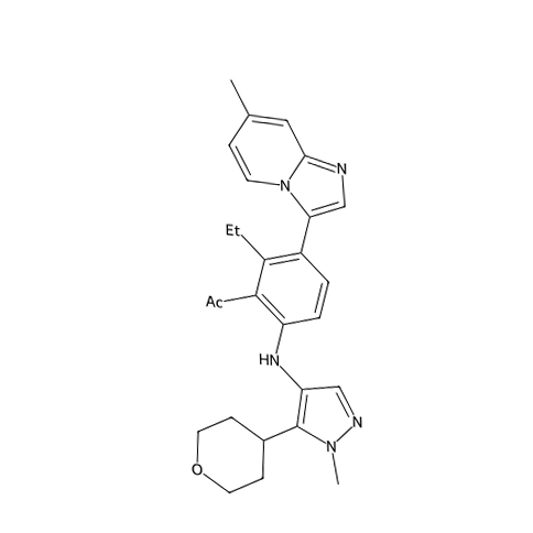 CCc1c(-c2cnc3cc(C)ccn23)ccc(Nc2cnn(C)c2C2CCOCC2)c1C(C)=O